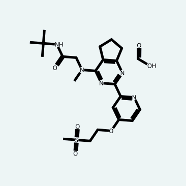 CN(CC(=O)NC(C)(C)C)c1nc(-c2cc(OCCS(C)(=O)=O)ccn2)nc2c1CCC2.O=CO